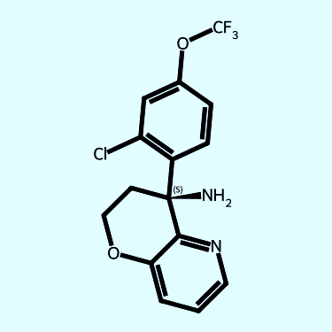 N[C@]1(c2ccc(OC(F)(F)F)cc2Cl)CCOc2cccnc21